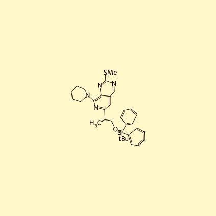 CSc1ncc2cc([C@H](C)CO[Si](c3ccccc3)(c3ccccc3)C(C)(C)C)nc(N3CCCCC3)c2n1